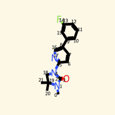 CN1C(=O)N(c2ccc(-c3cccc(F)c3)cn2)CC1(C)C